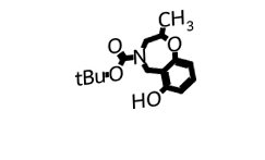 CC1CN(C(=O)OC(C)(C)C)Cc2c(O)cccc2O1